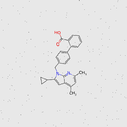 Cc1cc(C)c2cc(C3CC3)n(Cc3ccc(-c4ccccc4C(=O)O)cc3)c2n1